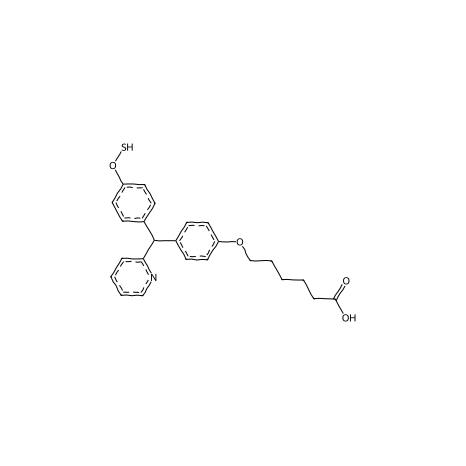 O=C(O)CCCCCOc1ccc(C(c2ccc(OS)cc2)c2ccccn2)cc1